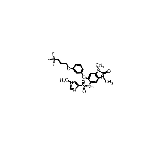 Cn1cnc(S(=O)(=O)Nc2cc3c(cc2Oc2cccc(OCCCC(F)(F)F)c2)n(C)c(=O)n3C)c1